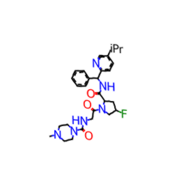 CC(C)c1ccc(C(NC(=O)C2CC(F)CN2C(=O)CNC(=O)N2CCN(C)CC2)c2ccccc2)nc1